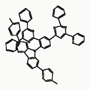 Cc1ccc(-c2ccc3c4ccc(-c5ccc(C)cc5)cc4n(-c4ccc(-c5cc(-c6ccccc6)nc(-c6ccccc6)n5)cc4-c4nc(-c5ccccc5)cc(-c5ccccc5)n4)c3c2)cc1